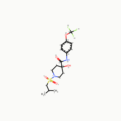 CC(C)CS(=O)(=O)N1CCC(O)(C(=O)Nc2ccc(OC(F)(F)F)cc2)CC1